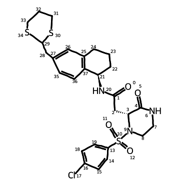 O=C(C[C@@H]1C(=O)NCCN1S(=O)(=O)c1ccc(Cl)cc1)N[C@@H]1CCCc2cc(CC3SCCCS3)ccc21